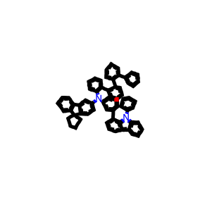 c1ccc(-c2ccccc2-c2ccccc2-c2ccccc2N(c2cccc(-c3cccc4c5ccccc5n(-c5ccccc5)c34)c2)c2ccc3c(c2)-c2ccccc2C32CCCC2)cc1